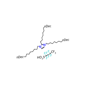 CCCCCCCCCCCCCCCCCCn1cc[n+](CCCCCCCCCCCCCCCCCC)c1CCCCCCCCCCCCCCCCC.O=S(=O)(O)C(F)(F)C(F)(F)C(F)(F)C(F)(F)F